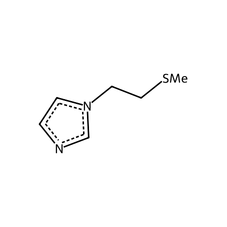 CSCCn1ccnc1